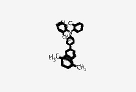 Cc1ccccc1N(c1ccc(-c2ccc3c(c2)C2(C)CCC3(C)CC2)cc1)c1ccccc1C